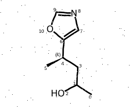 CC(O)C[C@@H](C)c1cnco1